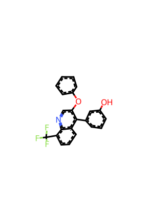 Oc1cccc(-c2c(Oc3ccccc3)cnc3c(C(F)(F)F)cccc23)c1